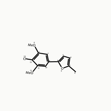 COc1cc(-c2ccc(C)o2)cc(OC)c1Cl